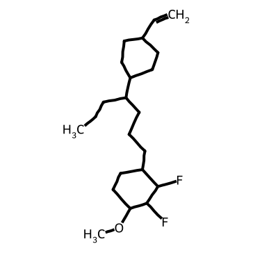 C=CC1CCC(C(CCC)CCCC2CCC(OC)C(F)C2F)CC1